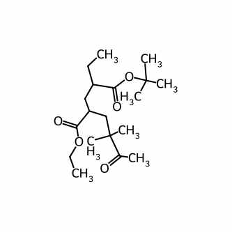 CCOC(=O)C(CC(CC)C(=O)OC(C)(C)C)CC(C)(C)C(C)=O